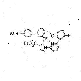 CCOC(=O)c1cnn(-c2cccc(-c3cc(F)ccc3OCc3ccc(-c4ccc(OC)cc4)cc3)n2)c1C(F)(F)F